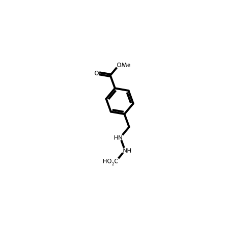 COC(=O)c1ccc(CNNC(=O)O)cc1